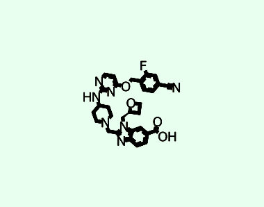 N#Cc1ccc(COc2ccnc(NC3CCN(Cc4nc5ccc(C(=O)O)cc5n4C[C@@H]4CCO4)CC3)n2)c(F)c1